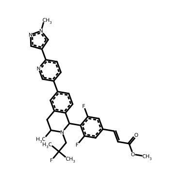 COC(=O)/C=C/c1cc(F)c(C2c3ccc(-c4ccc(-c5cnn(C)c5)nc4)cc3CC(C)N2CC(C)(C)F)c(F)c1